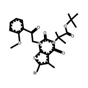 COc1ccccc1C(=O)Cn1c(=O)n(C(C)(C)C(=O)OC(C)(C)C)c(=O)c2c(C)c(Br)sc21